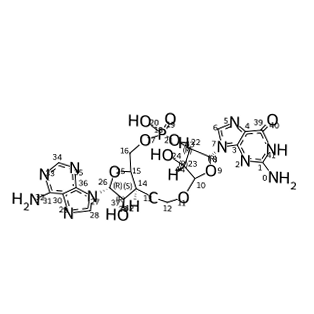 Nc1nc2c(ncn2[C@@H]2OC3OCC[C@@H]4C(COP(=O)(O)O[C@@H]2[C@H]3O)O[C@@H](n2cnc3c(N)ncnc32)[C@@H]4O)c(=O)[nH]1